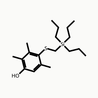 CCC[Si](CCC)(CCC)CSc1c(C)cc(O)c(C)c1C